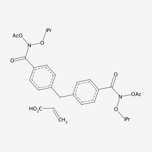 C=CC(=O)O.CC(=O)ON(OC(C)C)C(=O)c1ccc(Cc2ccc(C(=O)N(OC(C)=O)OC(C)C)cc2)cc1